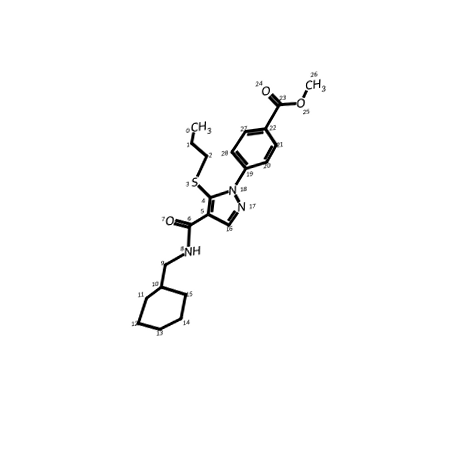 CCCSc1c(C(=O)NCC2CCCCC2)cnn1-c1ccc(C(=O)OC)cc1